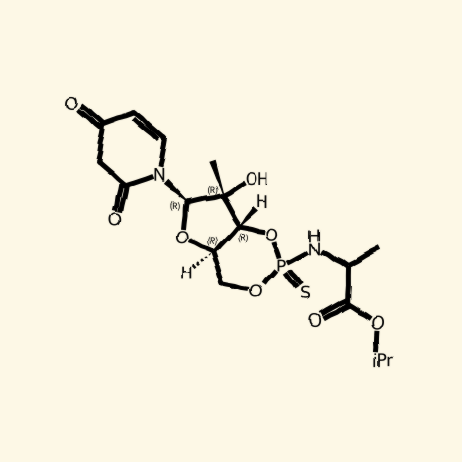 CC(C)OC(=O)C(C)NP1(=S)OC[C@H]2O[C@@H](N3C=CC(=O)CC3=O)[C@](C)(O)[C@@H]2O1